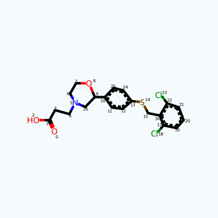 O=C(O)CCN1CCOC(c2ccc(SCc3c(Cl)cccc3Cl)cc2)C1